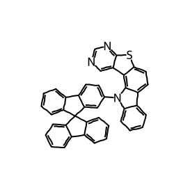 c1ccc2c(c1)-c1ccccc1C21c2ccccc2-c2ccc(-n3c4ccccc4c4ccc5sc6ncncc6c5c43)cc21